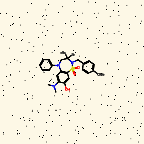 CCCCC1(CC)CN(c2ccccc2)c2cc(N(C)C)c(O)cc2S(=O)(=O)N1Cc1ccc(OC)cc1